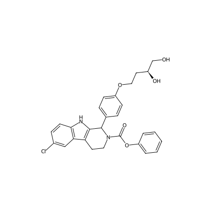 O=C(Oc1ccccc1)N1CCc2c([nH]c3ccc(Cl)cc23)C1c1ccc(OCC[C@H](O)CO)cc1